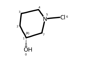 O[C@@H]1CCCN(Cl)C1